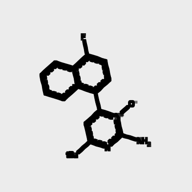 CC(C)(C)c1cc(-c2ccc(F)c3ccccc23)[n+]([O-])c(N)n1